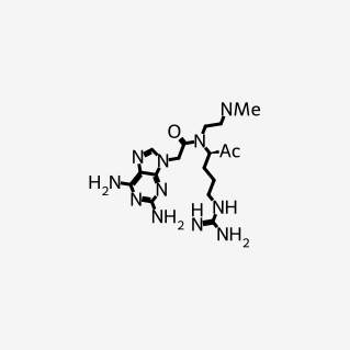 CNCCN(C(=O)Cn1cnc2c(N)nc(N)nc21)[C@H](CCCNC(=N)N)C(C)=O